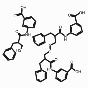 O=C(O)c1cccc(NC(=O)C(CS)Cc2ccccc2)c1.O=C(O)c1cccc(NC(=O)C(CSSCC(Cc2ccccc2)C(=O)Nc2cccc(C(=O)O)c2)Cc2ccccc2)c1